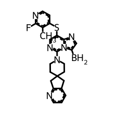 Bc1cnc2c(Sc3ccnc(F)c3C)cnc(N3CCC4(CC3)Cc3cccnc3C4)n12